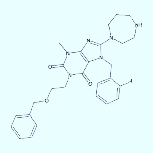 Cn1c(=O)n(CCOCc2ccccc2)c(=O)c2c1nc(N1CCCNCC1)n2Cc1ccccc1I